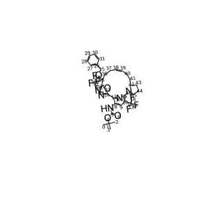 CC(C)(C)OC(=O)Nc1cc(C(F)(F)F)c2nc1-c1nnc(o1)C(OCc1ccccc1)(C(F)(F)F)CCC=CCCC1CCCN21